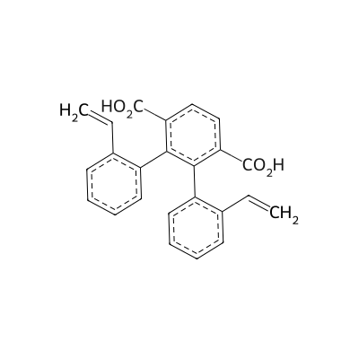 C=Cc1ccccc1-c1c(C(=O)O)ccc(C(=O)O)c1-c1ccccc1C=C